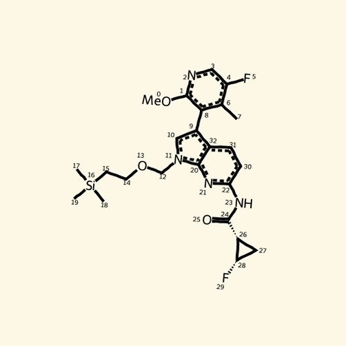 COc1ncc(F)c(C)c1-c1cn(COCC[Si](C)(C)C)c2nc(NC(=O)[C@@H]3C[C@@H]3F)ccc12